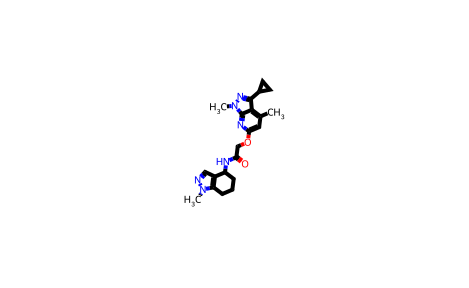 Cc1cc(OCC(=O)NC2CCCc3c2cnn3C)nc2c1c(C1CC1)nn2C